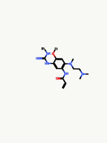 C=CC(=O)Nc1cc(NC(=N)NC(C)C)c(OCC)cc1N(C)CCN(C)C